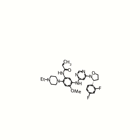 C=CC(=O)Nc1cc(Nc2cc(N3OCC[C@@H]3c3ccc(F)cc3F)ncn2)c(OC)cc1N1CCN(CC)CC1